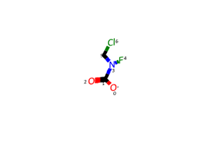 [O]C(=O)N(F)CCl